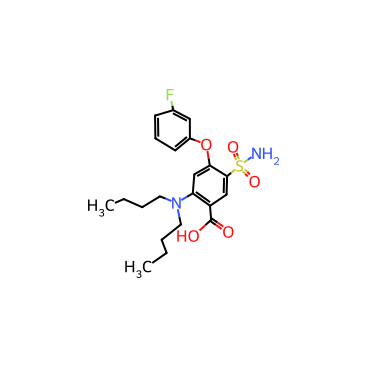 CCCCN(CCCC)c1cc(Oc2cccc(F)c2)c(S(N)(=O)=O)cc1C(=O)O